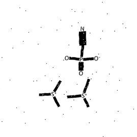 C[S+](C)C.C[S+](C)C.N#CP(=O)([O-])[O-]